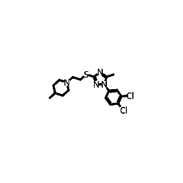 Cc1nc(SCCN2CCC(C)CC2)nn1-c1ccc(Cl)c(Cl)c1